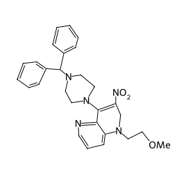 COCCN1CC([N+](=O)[O-])=C(N2CCN(C(c3ccccc3)c3ccccc3)CC2)c2ncccc21